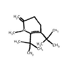 C=C1CCC(C(C)(C)C)=C(C(C)(C)C)N1C